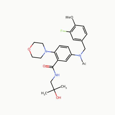 COc1ccc(CN(C(C)=O)c2ccc(N3CCOCC3)c(C(=O)NCC(C)(C)O)c2)cc1F